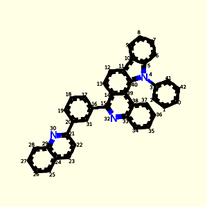 c1ccc(-n2c3ccccc3c3ccc4c(-c5cccc(-c6ccc7ccccc7n6)c5)nc5ccccc5c4c32)cc1